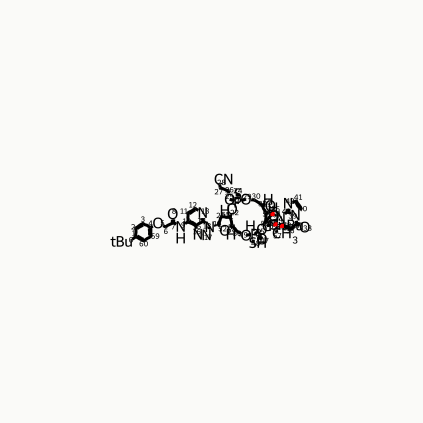 CC(C)(C)c1ccc(OCC(=O)Nc2ccnc3c2nnn3[C@H]2C[C@@H]3OP(=S)(OCCC#N)OC[C@H]4O[C@@H](n5ccc(=O)n6ccnc56)[C@H](OP(=O)(S)OC[C@H]3O2)[C@@H]4O[Si](C)(C)C(C)(C)C)cc1